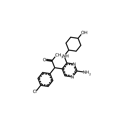 CC(=O)C(c1ccc(Cl)cc1)c1cnc(N)nc1NC1CCC(O)CC1